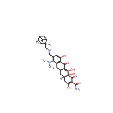 CN(C)c1c(CNC[C@H]2CCC3CC2C3(C)C)cc(O)c2c1CC1C[C@H]3CC(O)=C(C(N)=O)C(=O)[C@@]3(O)C(O)=C1C2=O